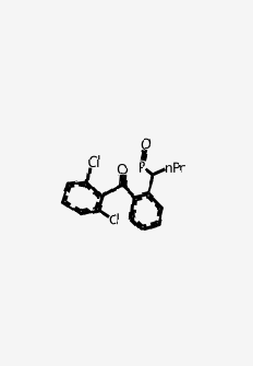 CCCC(P=O)c1ccccc1C(=O)c1c(Cl)cccc1Cl